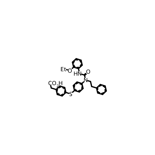 CCOc1ccccc1NC(=O)N(CCc1ccccc1)c1ccc(Sc2ccc(CC(=O)O)cc2)cc1